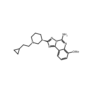 COc1cccc2c1nc(N)n1nc([C@@H]3CCCN(CCC4CC4)C3)nc21